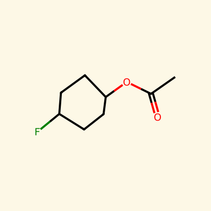 CC(=O)OC1CCC(F)CC1